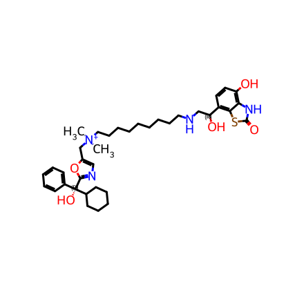 C[N+](C)(CCCCCCCCCNC[C@H](O)c1ccc(O)c2[nH]c(=O)sc12)Cc1cnc([C@](O)(c2ccccc2)C2CCCCC2)o1